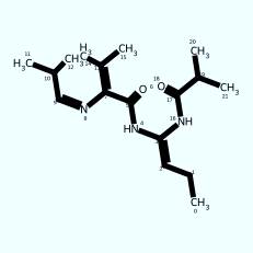 CC/C=C(/NC(=O)C(/N=C\C(C)C)=C(C)C)NC(=O)C(C)C